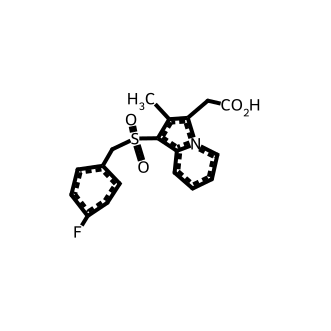 Cc1c(S(=O)(=O)Cc2ccc(F)cc2)c2ccccn2c1CC(=O)O